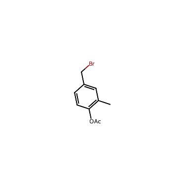 CC(=O)Oc1ccc(CBr)cc1C